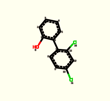 Oc1ccccc1-c1ccc(Cl)cc1Cl